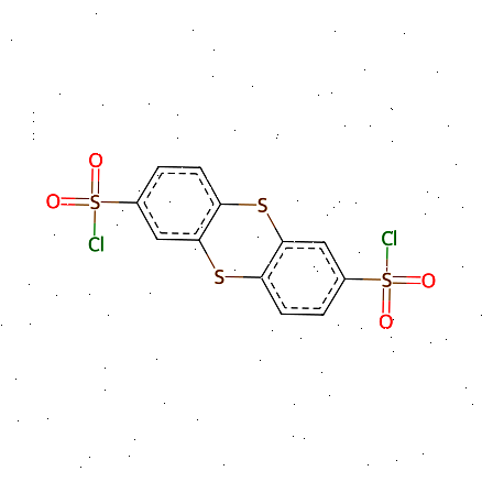 O=S(=O)(Cl)c1ccc2c(c1)Sc1ccc(S(=O)(=O)Cl)cc1S2